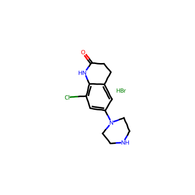 Br.O=C1CCc2cc(N3CCNCC3)cc(Cl)c2N1